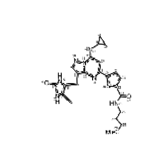 C=c1[nH]c(=O)[nH]/c1=C\c1cnn2c(NC3CC3)cc(-c3ccc(C(=O)NCCCOC)s3)nc12